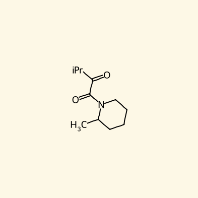 CC(C)C(=O)C(=O)N1CCCCC1C